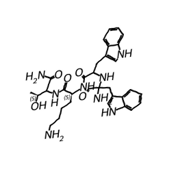 C[C@H](O)C(NC(=O)[C@H](CCCCN)NC(=O)C(Cc1c[nH]c2ccccc12)NC(N)(C=O)Cc1c[nH]c2ccccc12)C(N)=O